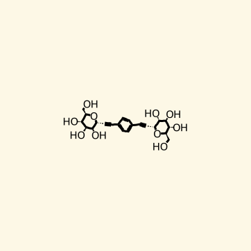 OC[C@H]1O[C@H](C#Cc2ccc(C#C[C@H]3O[C@H](CO)[C@@H](O)[C@H](O)[C@@H]3O)cc2)[C@H](O)[C@@H](O)[C@@H]1O